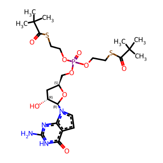 CC(C)(C)C(=O)SCCOP(=O)(OCCSC(=O)C(C)(C)C)OC[C@@H]1C[C@@H](O)[C@H](n2ccc3c(=O)[nH]c(N)nc32)O1